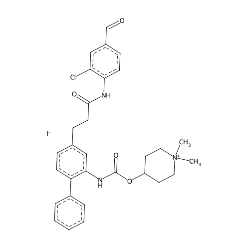 C[N+]1(C)CCC(OC(=O)Nc2cc(CCC(=O)Nc3ccc(C=O)cc3Cl)ccc2-c2ccccc2)CC1.[I-]